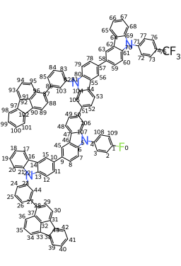 Fc1ccc(-n2c3ccc(-c4ccc5c(c4)c4ccccc4n5-c4cccc(-c5ccc6c7c(cccc57)-c5ccccc5-6)c4)cc3c3ccc(-c4ccc5c6cc(-c7ccc8c(c7)c7ccccc7n8-c7ccc(C(F)(F)F)cc7)ccc6n(-c6cccc(-c7ccc8c9c(cccc79)-c7ccccc7-8)c6)c5c4)cc32)cc1